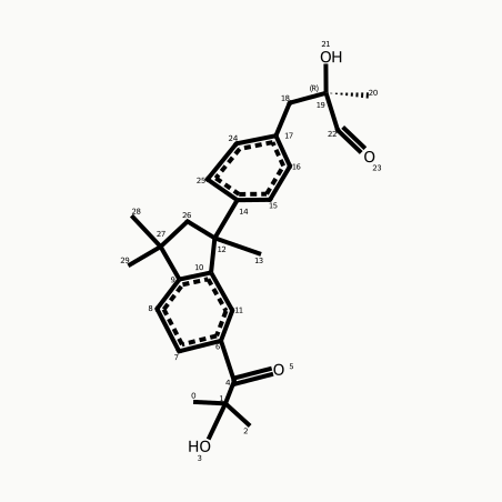 CC(C)(O)C(=O)c1ccc2c(c1)C(C)(c1ccc(C[C@@](C)(O)C=O)cc1)CC2(C)C